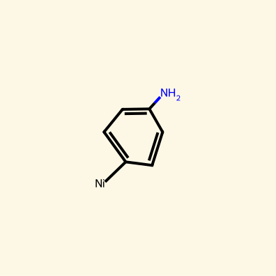 Nc1cc[c]([Ni])cc1